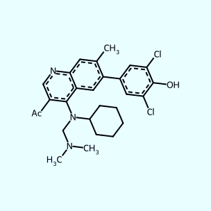 CC(=O)c1cnc2cc(C)c(-c3cc(Cl)c(O)c(Cl)c3)cc2c1N(CN(C)C)C1CCCCC1